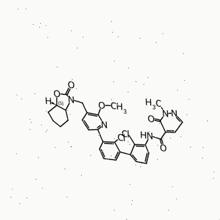 COc1nc(-c2cccc(-c3cccc(NC(=O)c4ccnn(C)c4=O)c3Cl)c2Cl)ccc1CN1C(=O)O[C@H]2CCCCC21